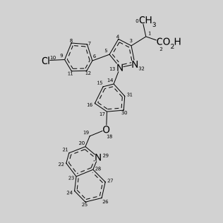 CC(C(=O)O)c1cc(-c2ccc(Cl)cc2)n(-c2ccc(OCc3ccc4ccccc4n3)cc2)n1